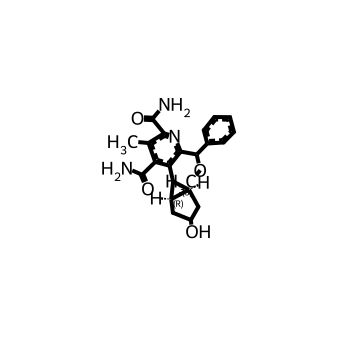 COC(c1ccccc1)c1nc(C(N)=O)c(C)c(C(N)=O)c1C1[C@H]2CC(O)C[C@@H]12